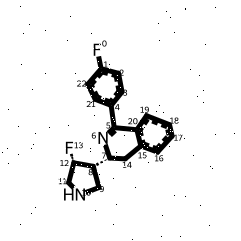 Fc1ccc(C2=N[C@@H](C3CNC[C@@H]3F)Cc3ccccc32)cc1